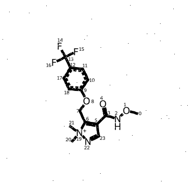 CONC(=O)C1=C(COc2ccc(C(F)(F)F)cc2)[N+](C)(C)N=C1